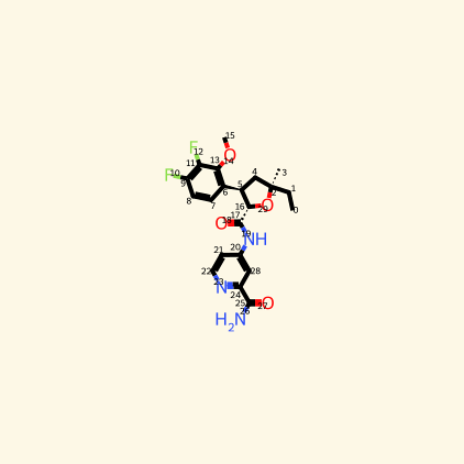 CC[C@]1(C)C[C@H](c2ccc(F)c(F)c2OC)[C@@H](C(=O)Nc2ccnc(C(N)=O)c2)O1